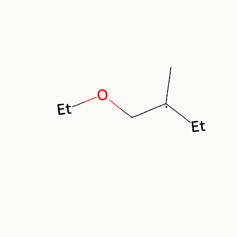 CCOC[C](C)CC